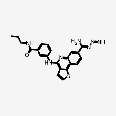 CCCNC(=O)c1cccc(Nc2nc3cc(/C(N)=N/N=N)ccc3c3sccc23)c1